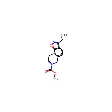 CC(C)(C)OC(=O)N1CCc2c(ccc3c(CC(=O)O)noc23)C1